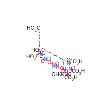 O=[C]C(C[C@H](NC(=O)CC[C@H](NC(=O)CC[C@H](NC(=O)CCCCCCCCCCCCCCCCC(=O)O)C(=O)O)C(=O)O)C(=O)O)C(=O)COCCOCCNC(=O)COCCOCCNC(=O)CC[C@H](NC(=O)CCCCCCCCCCCCCCCC(=O)O)C(=O)O